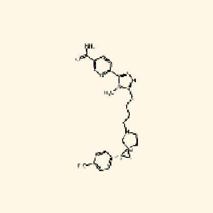 Cn1c(SCCCN2CC[C@]3(C[C@@H]3c3ccc(C(F)(F)F)cc3)C2)nnc1-c1ccc(C(N)=O)cn1